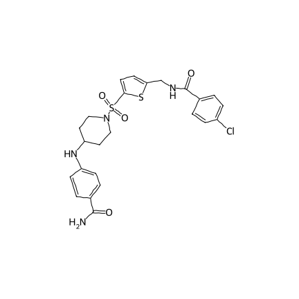 NC(=O)c1ccc(NC2CCN(S(=O)(=O)c3ccc(CNC(=O)c4ccc(Cl)cc4)s3)CC2)cc1